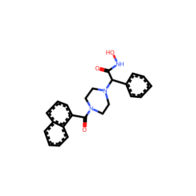 O=C(NO)C(c1ccccc1)N1CCN(C(=O)c2cccc3ccccc23)CC1